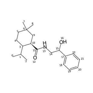 CC(C)C1CCC(C)(C)C[C@H]1C(=O)NCC(O)c1ccccc1